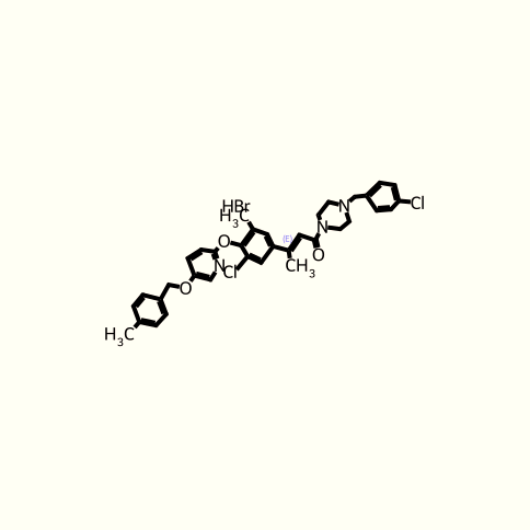 Br.C/C(=C\C(=O)N1CCN(Cc2ccc(Cl)cc2)CC1)c1cc(C)c(Oc2ccc(OCc3ccc(C)cc3)cn2)c(Cl)c1